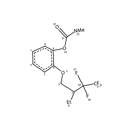 CCC(COc1ccccc1OC(=O)NC)C(F)(F)C(F)(F)F